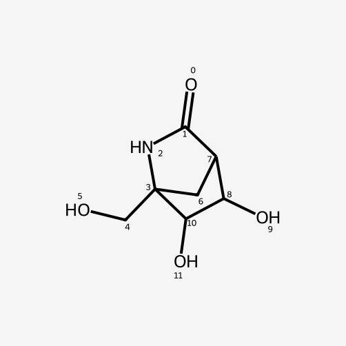 O=C1NC2(CO)CC1C(O)C2O